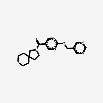 O=C(c1cnc(OCc2cncnc2)nc1)N1CCC2(CCOCC2)C1